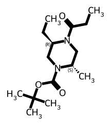 CCC(=O)N1C[C@H](C)N(C(=O)OC(C)(C)C)C[C@H]1CC